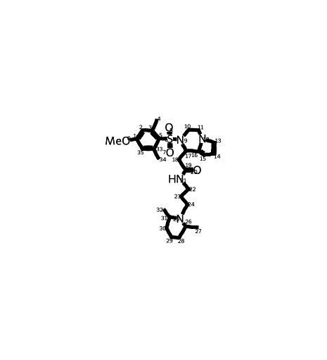 COc1cc(C)c(S(=O)(=O)N2CCn3cccc3C2CC(=O)NCCCN2C(C)CCCC2C)c(C)c1